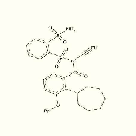 C#CN(C(=O)c1cccc(OC(C)C)c1C1CCCCCC1)S(=O)(=O)c1ccccc1S(N)(=O)=O